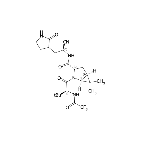 CC(C)(C)[C@H](NC(=O)C(F)(F)F)C(=O)N1[C@H]2[C@@H](C[C@H]1C(=O)N[C@H](C#N)CC1CCNC1=O)C2(C)C